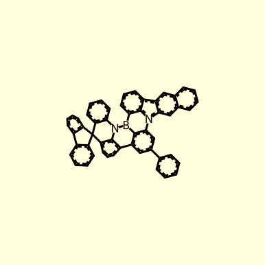 c1ccc(-c2cc3c4c(c2)-n2c5cc6ccccc6cc5c5cccc(c52)B4N2c4ccccc4C4(c5ccccc5-c5ccccc54)c4cccc-3c42)cc1